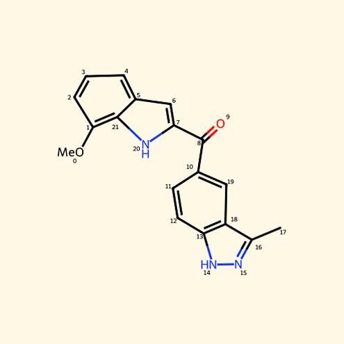 COc1cccc2cc(C(=O)c3ccc4[nH]nc(C)c4c3)[nH]c12